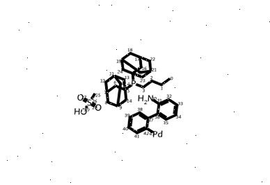 CCCCP(C12CC3CC(CC(C3)C1)C2)C12CC3CC(CC(C3)C1)C2.CS(=O)(=O)O.Nc1ccccc1-c1cccc[c]1[Pd]